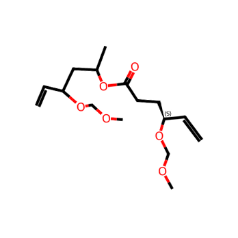 C=CC(CC(C)OC(=O)CC[C@@H](C=C)OCOC)OCOC